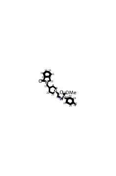 COC(=O)N(/N=C\CN1CCC(CN2Cc3ccccc3C2=O)CC1)c1ccc(F)cc1